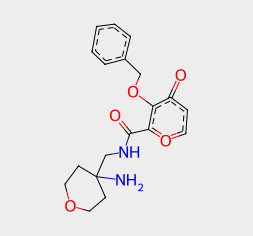 NC1(CNC(=O)c2occc(=O)c2OCc2ccccc2)CCOCC1